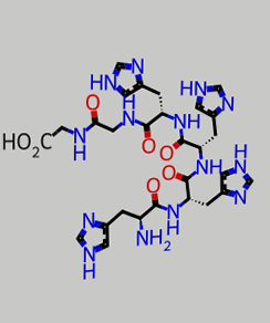 N[C@@H](Cc1c[nH]cn1)C(=O)N[C@@H](Cc1c[nH]cn1)C(=O)N[C@@H](Cc1c[nH]cn1)C(=O)N[C@@H](Cc1c[nH]cn1)C(=O)NCC(=O)NCC(=O)O